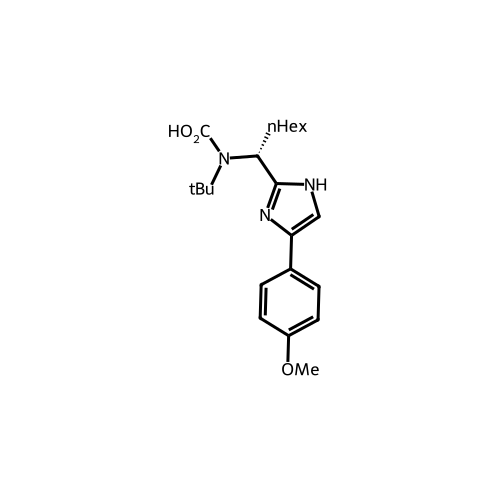 CCCCCC[C@H](c1nc(-c2ccc(OC)cc2)c[nH]1)N(C(=O)O)C(C)(C)C